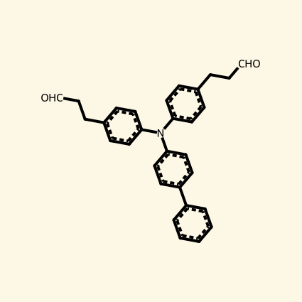 O=CCCc1ccc(N(c2ccc(CCC=O)cc2)c2ccc(-c3ccccc3)cc2)cc1